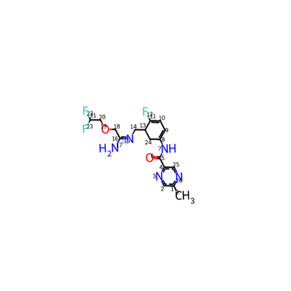 Cc1cnc(C(=O)NC2=CC=C(F)C(C/N=C(/N)COCC(F)F)C2)cn1